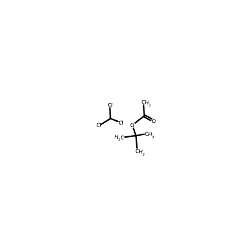 CC(=O)OC(C)(C)C.ClC(Cl)Cl